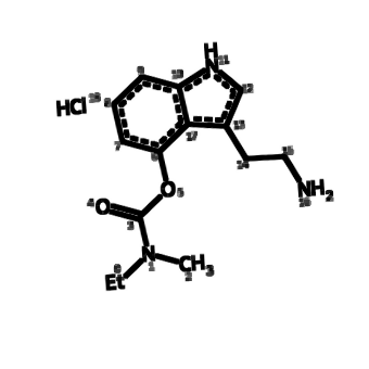 CCN(C)C(=O)Oc1cccc2[nH]cc(CCN)c12.Cl